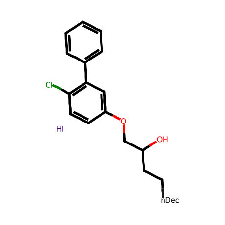 CCCCCCCCCCCCC(O)COc1ccc(Cl)c(-c2ccccc2)c1.I